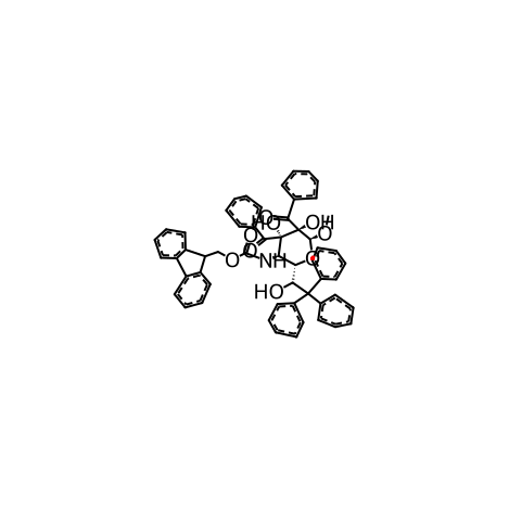 CO[C@H]1O[C@H](C(O)C(c2ccccc2)(c2ccccc2)c2ccccc2)[C@@H](NC(=O)OCC2c3ccccc3-c3ccccc32)[C@@](O)(C(=O)c2ccccc2)[C@]1(O)C(=O)c1ccccc1